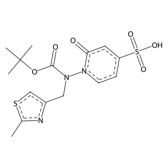 Cc1nc(CN(C(=O)OC(C)(C)C)n2ccc(S(=O)(=O)O)cc2=O)cs1